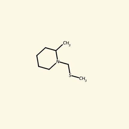 CSCN1CCCCC1C